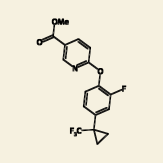 COC(=O)c1ccc(Oc2ccc(C3(C(F)(F)F)CC3)cc2F)nc1